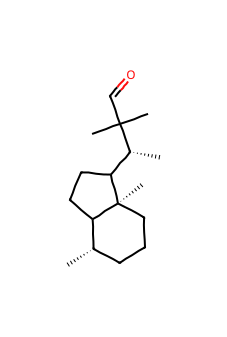 C[C@H](C1CCC2[C@@H](C)CCC[C@]12C)C(C)(C)C=O